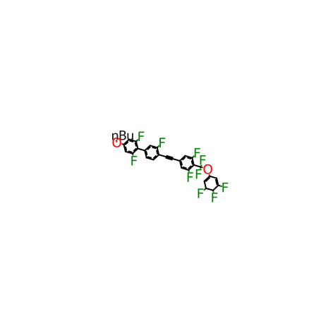 CCCCOc1cc(F)c(-c2ccc(C#Cc3cc(F)c(C(F)(F)OC4=CC(F)C(F)C(F)=C4)c(F)c3)c(F)c2)c(F)c1